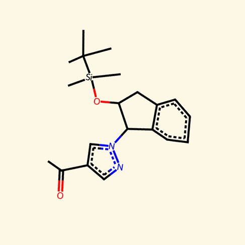 CC(=O)c1cnn(C2c3ccccc3CC2O[Si](C)(C)C(C)(C)C)c1